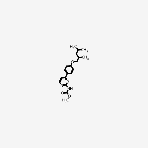 COC(=O)Nc1nccc(-c2ccc(OCC(C)CC(C)C)cc2)n1